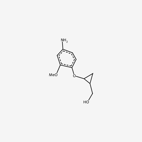 COc1cc(N)ccc1OC1CC1CO